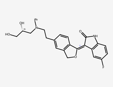 CC(C)N(CCc1ccc2c(c1)CO/C2=C1/C(=O)Nc2ccc(F)cc21)C[C@@H](O)CO